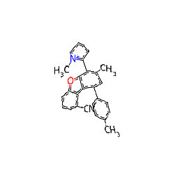 Cc1ccc(-c2cc(C)c(-c3cccc[n+]3C)c3oc4cccc(C#N)c4c23)cc1